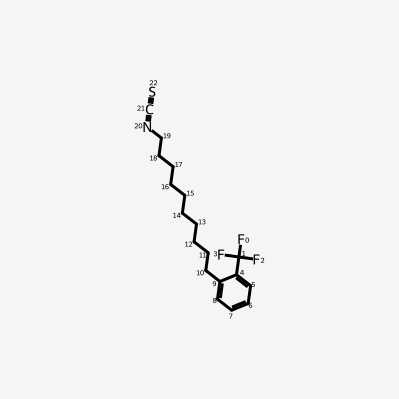 FC(F)(F)c1ccccc1CCCCCCCCCCN=C=S